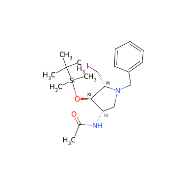 CC(=O)N[C@H]1CN(Cc2ccccc2)[C@@H](CI)[C@@H]1O[Si](C)(C)C(C)(C)C